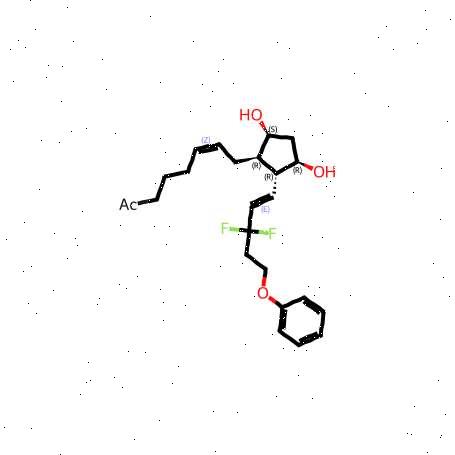 CC(=O)CCC/C=C\C[C@@H]1[C@@H](/C=C/C(F)(F)CCOc2ccccc2)[C@H](O)C[C@@H]1O